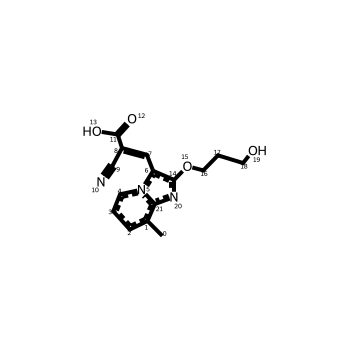 Cc1cccn2c(C=C(C#N)C(=O)O)c(OCCCO)nc12